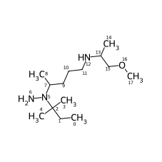 CCC(C)(C)N(N)C(C)CCCNC(C)COC